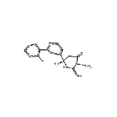 CN1C(=N)N[C@](C)(c2ccnc(-c3cccnc3F)c2)CC1=O